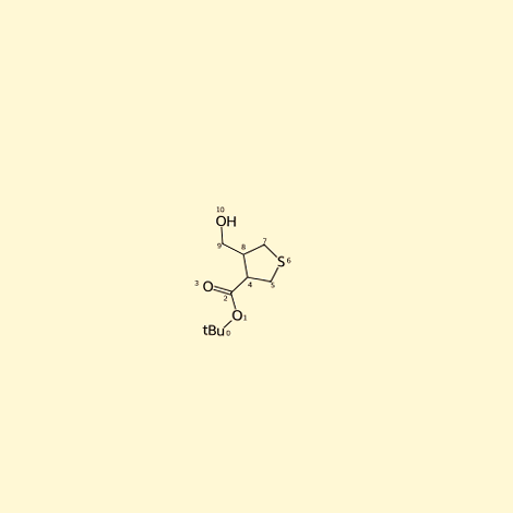 CC(C)(C)OC(=O)C1CSCC1CO